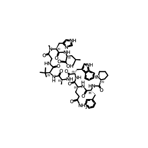 CC(C)C[C@H](NC(=O)[C@H](Cc1c[nH]cn1)N(C)C(=O)CNC(=O)[C@@H](NC(=O)[C@H](C)NC(=O)[C@H](Cc1c[nH]c2ccccc12)NC(=O)[C@H](CCC(N)=O)NC(=O)[C@@H](Cc1ccccc1)NC(=O)[C@@H]1CCCCN1)C(C)(C)C)C(=O)O